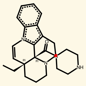 CC[C@]12C=Cn3c4c(c5ccccc53)CCN(CCC1)[C@@]42C(=O)N1CCNCC1